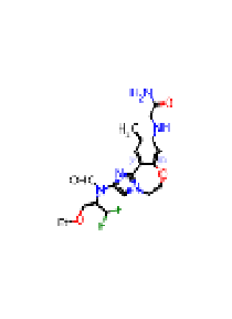 C=C/C=C1\C(=C/CNCC(N)=O)OCCn2cc(N(C=O)C(COCC)C(F)F)nc21